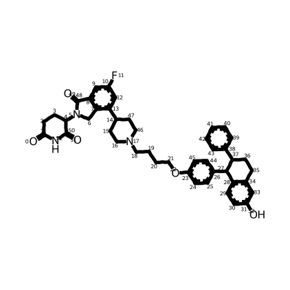 O=C1CCC(N2Cc3c(cc(F)cc3C3CCN(CCCCOc4ccc(C5c6ccc(O)cc6CCC5c5ccccc5)cc4)CC3)C2=O)C(=O)N1